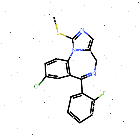 CSc1ncc2n1-c1ccc(Cl)cc1C(c1ccccc1F)=NC2